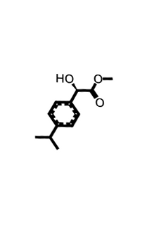 COC(=O)[C@H](O)c1ccc(C(C)C)cc1